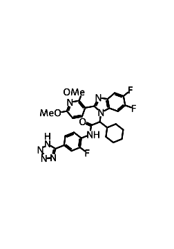 COc1ccc(-c2nc3cc(F)c(F)cc3n2C(C(=O)Nc2ccc(-c3nnn[nH]3)cc2F)C2CCCCC2)c(OC)n1